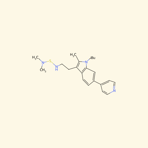 CCC(C)n1c(C)c(CCNSN(C)C)c2ccc(-c3ccncc3)cc21